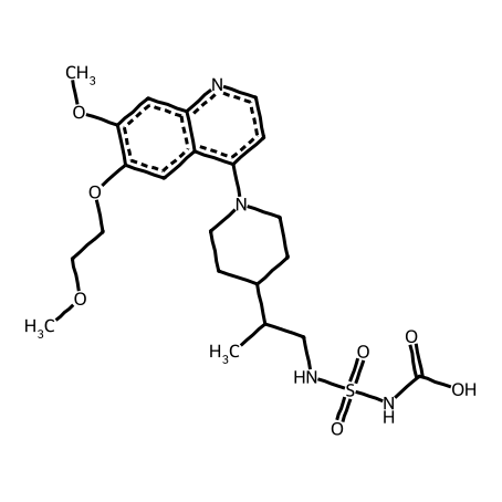 COCCOc1cc2c(N3CCC(C(C)CNS(=O)(=O)NC(=O)O)CC3)ccnc2cc1OC